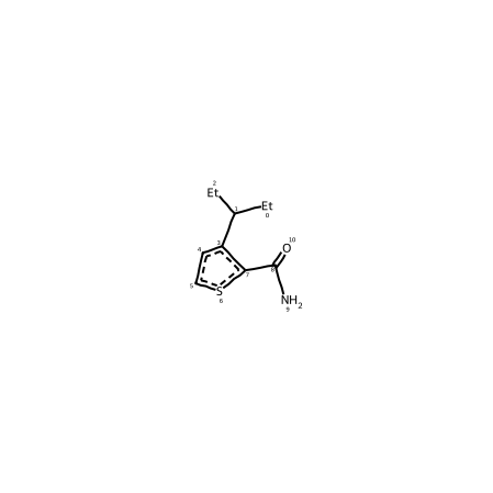 CCC(CC)c1ccsc1C(N)=O